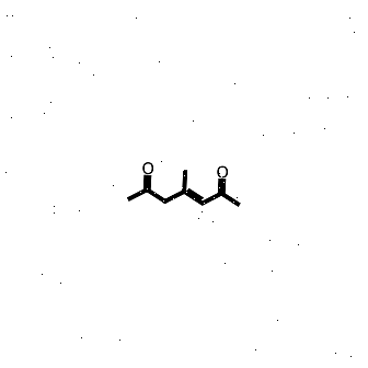 CC(=O)/C=C(\C)CC(C)=O